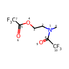 CN(CCOC(=O)C(F)(F)F)C(=O)C(F)(F)F